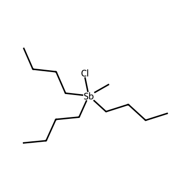 CCC[CH2][Sb]([CH3])([Cl])([CH2]CCC)[CH2]CCC